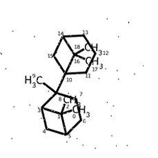 CC1(C)[C]2CC1CCC2(C)C12CCCC(C1)C2(C)C